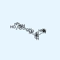 CCC[C@H](NC(=O)COCCOCCNC(=O)CCCS(=O)(=O)NC(=O)CCCc1nnn[nH]1)C(=O)O